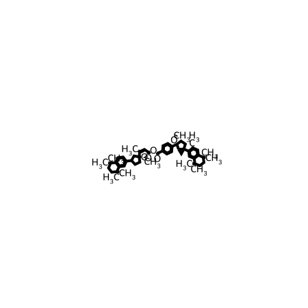 COC1(C(C)=CC(=O)OC(=O)c2ccc(C3(OC)CCC4(c5cc6c(cc5C)C(C)(C)CCC6(C)C)CC43)cc2)CCC(c2ccc3c(c2)C(C)(C)CCC3(C)C)C1